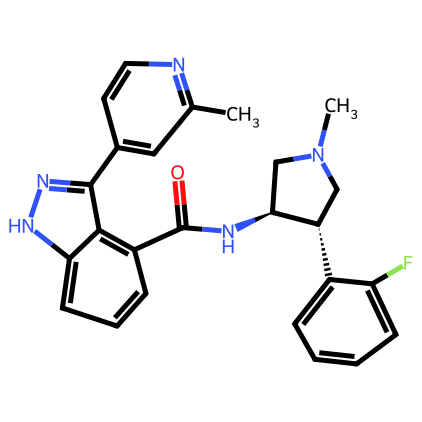 Cc1cc(-c2n[nH]c3cccc(C(=O)N[C@H]4CN(C)C[C@@H]4c4ccccc4F)c23)ccn1